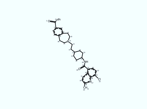 CCCC(=O)c1ccc2c(c1)CCN(CCC1CCC(NC(=O)c3ccc(Cl)c4nc(C)ccc34)CC1)CC2